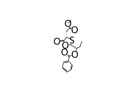 CCC(OC(=O)c1ccccc1)C1OC(=O)[C@H](CC(=O)OC)S1